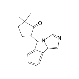 CC1(C)CCC(C2c3ccccc3-c3cncn32)C1=O